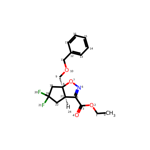 CCOC(=O)C1=NO[C@]2(COCc3ccccc3)CC(F)(F)C[C@H]12